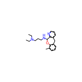 CCN(CC)CCCNC1Oc2c(C)cccc2Cc2cccnc21